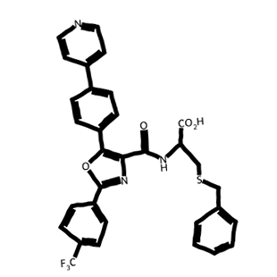 O=C(NC(CSCc1ccccc1)C(=O)O)c1nc(-c2ccc(C(F)(F)F)cc2)oc1-c1ccc(-c2ccncc2)cc1